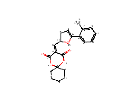 O=C1OC2(CCCCC2)OC(=O)C1=CC1CC=C(c2ccccc2[N+](=O)[O-])O1